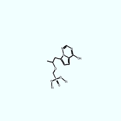 CCOP(=O)(COC(C)Cc1ccc2c(O)ncnn12)OCC